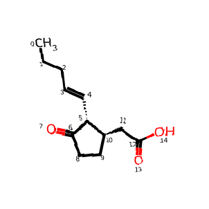 CCCC=C[C@H]1C(=O)CC[C@@H]1CC(=O)O